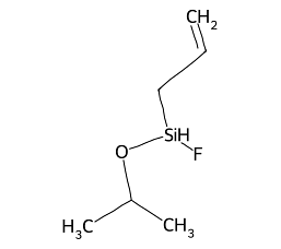 C=CC[SiH](F)OC(C)C